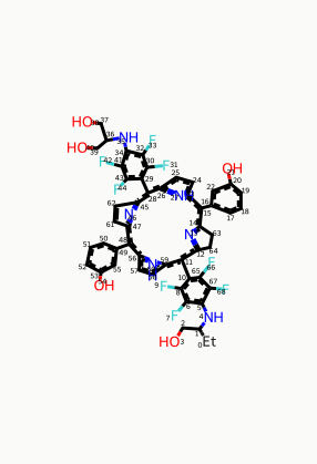 CCC(CO)Nc1c(F)c(F)c(-c2c3nc(c(-c4cccc(O)c4)c4ccc([nH]4)c(-c4c(F)c(F)c(NC(CO)CO)c(F)c4F)c4nc(c(-c5cccc(O)c5)c5ccc2[nH]5)C=C4)CC3)c(F)c1F